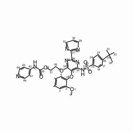 COc1ccccc1Oc1c(NS(=O)(=O)c2ccc(C(C)(C)C)cc2)nc(-c2ncccn2)nc1OCCOC(=O)Nc1ccncc1